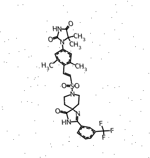 Cc1cc(N2C(=O)NC(=O)C2(C)C)cc(C)c1C=CS(=O)(=O)N1CCC2(CC1)N=C(c1cccc(C(F)(F)F)c1)NC2=O